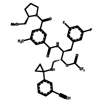 C#Cc1cccc(C2(NC[C@@H](OC(=O)C(F)(F)F)[C@H](Cc3cc(F)cc(F)c3)NC(=O)c3cc(C)cc(C(=O)N4CCC[C@@H]4COC)c3)CC2)c1